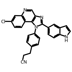 N#CCCc1ccc(-n2c(-c3ccc4[nH]ccc4c3)nc3cnc4cc(Cl)ccc4c32)cc1